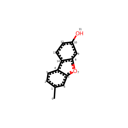 Cc1ccc2c(c1)oc1cc(O)ccc12